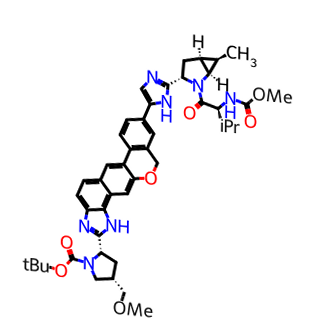 COC[C@H]1C[C@@H](c2nc3ccc4cc5c(cc4c3[nH]2)OCc2cc(-c3cnc([C@@H]4C[C@H]6[C@@H](C)[C@H]6N4C(=O)[C@@H](NC(=O)OC)C(C)C)[nH]3)ccc2-5)N(C(=O)OC(C)(C)C)C1